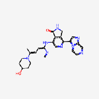 C=N/C(=C\C=C(/C)N1CCC(O)CC1)Nc1cnc(-c2cnc3cnccn23)c2c1C(=O)NC2